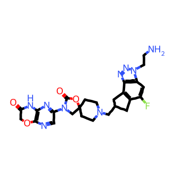 NCCn1nnc2c3c(c(F)cc21)CC(CN1CCC2(CC1)CN(c1cnc4c(n1)NC(=O)CO4)C(=O)O2)C3